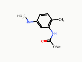 COC(=O)Nc1cc(NC(=O)O)ccc1C